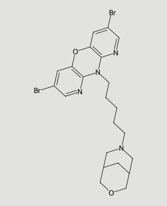 Brc1cnc2c(c1)Oc1cc(Br)cnc1N2CCCCCN1CC2COCC(C2)C1